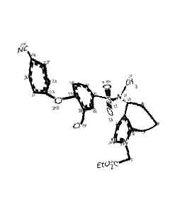 CCOC(=O)Cn1ncc2c1CCC[C@H]2N(C)S(=O)(=O)c1ccc(Oc2ccc(C#N)cc2)c(Cl)c1